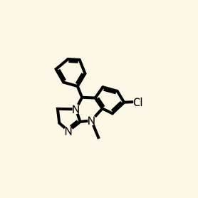 CN1C2=NCCN2C(c2ccccc2)c2ccc(Cl)cc21